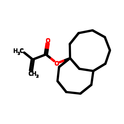 C=C(C)C(=O)OC12CCCCCCC(CCCCC1)C2